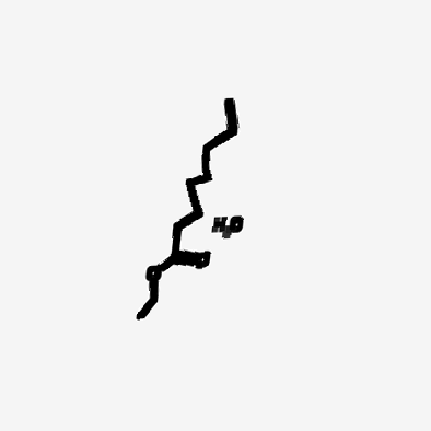 CCCCCCCC(=O)OCC.O